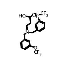 OC(CCN(Cc1cccc(OC(F)(F)F)c1)Cc1cccc(OC(F)(F)F)c1)C(F)(F)F